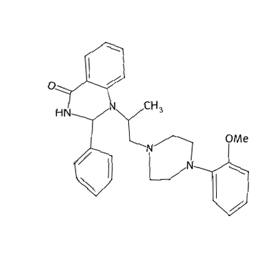 COc1ccccc1N1CCN(CC(C)N2c3ccccc3C(=O)NC2c2ccccc2)CC1